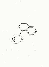 c1ccc2c(C3COCC[N]3)cccc2c1